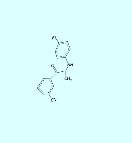 CCc1ccc(NC(C)C(=O)c2cccc(C#N)c2)cc1